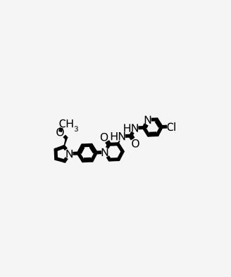 COC[C@@H]1CCCN1c1ccc(N2CCC[C@@H](NC(=O)Nc3ccc(Cl)cn3)C2=O)cc1